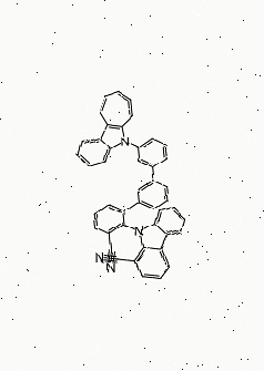 N#Cc1cccc(-c2cccc(-c3cccc(-n4c5c(c6ccccc64)C=CC=C=C5)c3)c2)c1-n1c2ccccc2c2cccc(C#N)c21